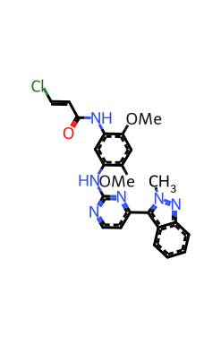 COc1cc(OC)c(Nc2nccc(-c3c4ccccc4nn3C)n2)cc1NC(=O)/C=C/Cl